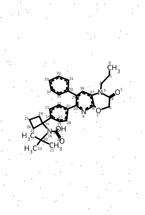 CCCN1C(=O)COc2nc(-c3ccc(C4(N(C(=O)O)C(C)(C)C)CCC4)cc3)c(-c3ccccc3)cc21